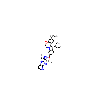 COc1ccc2c(c1)OCCn1c-2c(C2CCCCC2)c2ccc(C(=O)NC(C)(C)c3nc4cccnc4[nH]3)cc21